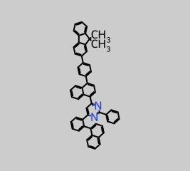 CC1(C)c2ccccc2-c2ccc(-c3ccc(-c4ccc(-c5cc(-c6ccccc6-c6cccc7ccccc67)nc(-c6ccccc6)n5)c5ccccc45)cc3)cc21